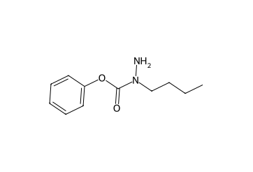 CCCCN(N)C(=O)Oc1ccccc1